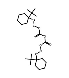 CC(C)(C)C1(OOOC(=O)OC(=O)OOOC2(C(C)(C)C)CCCCC2)CCCCC1